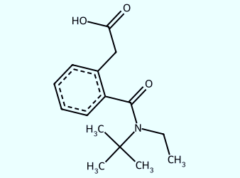 CCN(C(=O)c1ccccc1CC(=O)O)C(C)(C)C